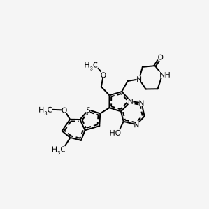 COCc1c(-c2cc3cc(C)cc(OC)c3s2)c2c(O)ncnn2c1CN1CCNC(=O)C1